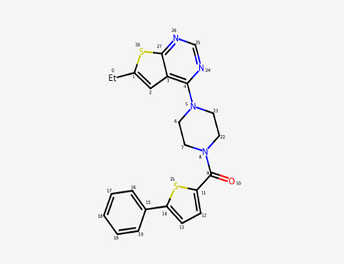 CCc1cc2c(N3CCN(C(=O)c4ccc(-c5ccccc5)s4)CC3)ncnc2s1